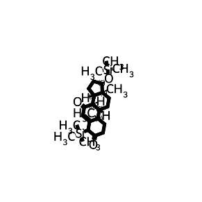 C[C@]12CC[C@H]3[C@@H](C(=O)C=C4C([Si](C)(C)C)C(=O)CC[C@@]43C)[C@@H]1CC[C@@H]2O[Si](C)(C)C